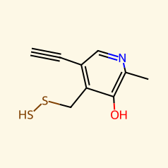 C#Cc1cnc(C)c(O)c1CSS